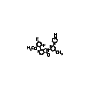 COc1cc(F)cc(F)c1-c1nccc2c1CN(c1cc(C)cc(N3CCNCC3)n1)C2=O